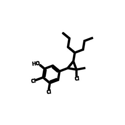 CCCC(CCC)C1C(c2cc(O)c(Cl)c(Cl)c2)C1(C)Cl